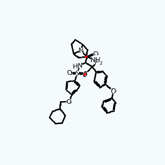 NC1CC2CCC(C1)N2C(=O)C(NS(=O)(=O)c1ccc(OCC2CCCCC2)cc1)C(F)(F)c1ccc(Oc2ccccc2)cc1